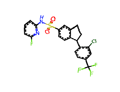 O=S(=O)(Nc1cccc(F)n1)c1ccc2c(c1)CCC2c1ccc(C(F)(F)F)cc1Cl